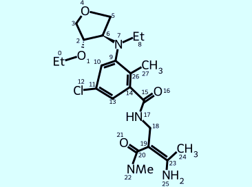 CCO[C@@H]1COC[C@H]1N(CC)c1cc(Cl)cc(C(=O)NC/C(C(=O)NC)=C(\C)N)c1C